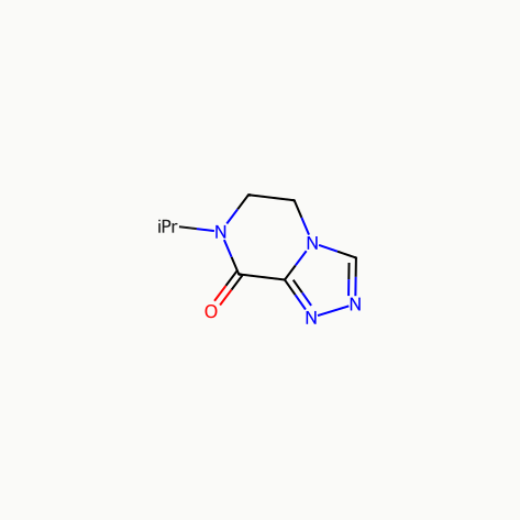 CC(C)N1CCn2cnnc2C1=O